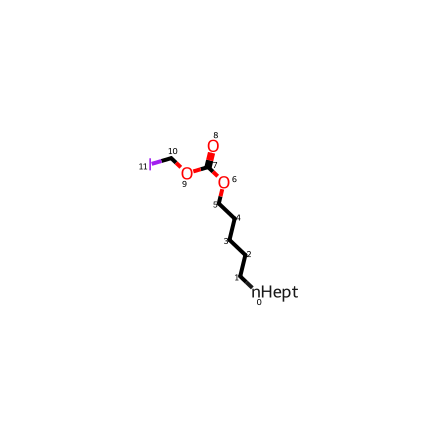 CCCCCCCCCCCCOC(=O)OCI